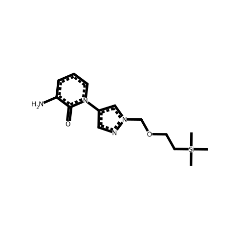 C[Si](C)(C)CCOCn1cc(-n2cccc(N)c2=O)cn1